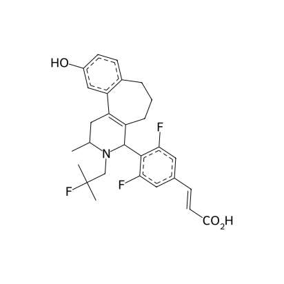 CC1CC2=C(CCCc3ccc(O)cc32)C(c2c(F)cc(/C=C/C(=O)O)cc2F)N1CC(C)(C)F